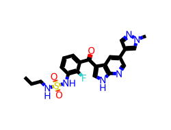 CCCNS(=O)(=O)Nc1cccc(C(=O)c2c[nH]c3ncc(-c4cnn(C)c4)cc23)c1F